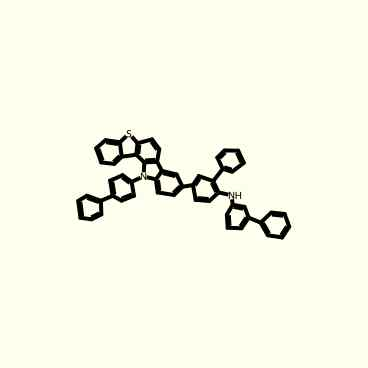 c1ccc(-c2ccc(-n3c4ccc(-c5ccc(Nc6cccc(-c7ccccc7)c6)c(-c6ccccc6)c5)cc4c4ccc5sc6ccccc6c5c43)cc2)cc1